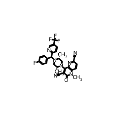 C[C@@H]1CN(c2c(C#N)c(=O)n(C)c3ccc(C#N)nc23)[C@@H](C)CN1C(c1ccc(F)cc1)c1ccc(C(F)(F)F)cn1